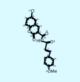 COc1ccc(/C=C/C(=O)NC(=O)c2cc3cc(Cl)ccc3oc2=O)cc1